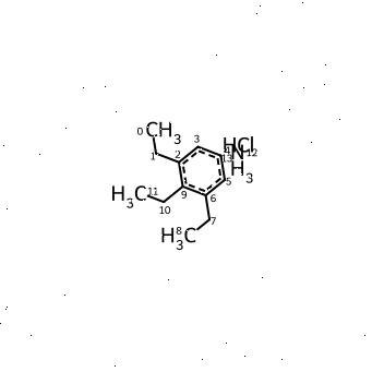 CCc1cccc(CC)c1CC.Cl.N